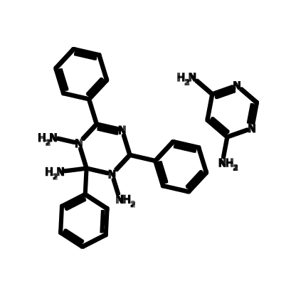 NN1C(c2ccccc2)=NC(c2ccccc2)N(N)C1(N)c1ccccc1.Nc1cc(N)ncn1